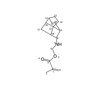 C=C(C)C(=O)OCNC1C2CCC3CCC24C3CC14